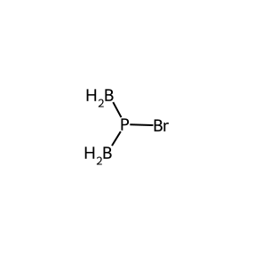 BP(B)Br